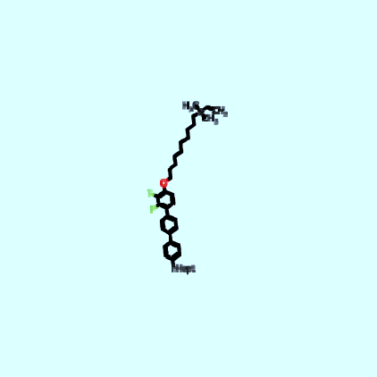 C=C[Si](C)(C)CCCCCCCCCCOc1ccc(-c2ccc(-c3ccc(CCCCCCC)cc3)cc2)c(F)c1F